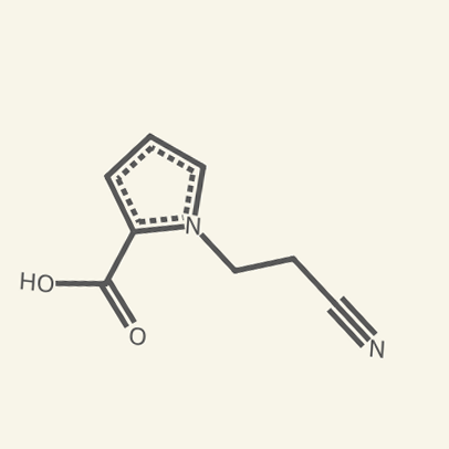 N#CCCn1cccc1C(=O)O